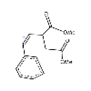 COC(=O)CC(/C=C\c1ccccc1)C(=O)OC